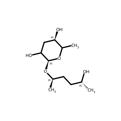 CC1O[C@@H](O[C@H](C)CC[C@@H](C)O)C(O)C[C@H]1O